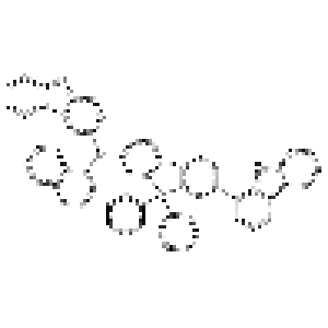 c1ccc(C2(c3ccccc3)c3cc(-c4cccc5c4oc4ccccc45)ccc3-c3ccc(N(c4ccc5oc6ccccc6c5c4)c4cccc5ccccc45)cc32)cc1